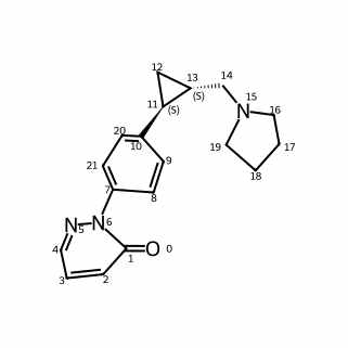 O=c1cccnn1-c1ccc([C@H]2C[C@@H]2CN2CCCC2)cc1